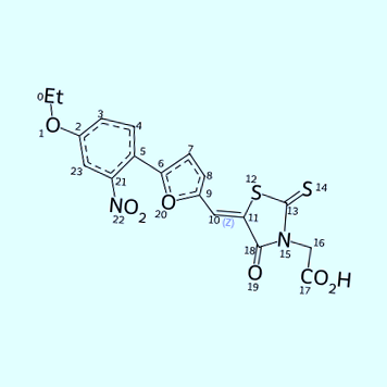 CCOc1ccc(-c2ccc(/C=C3\SC(=S)N(CC(=O)O)C3=O)o2)c([N+](=O)[O-])c1